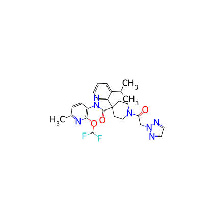 Cc1ccc(NC(=O)C2(c3ccccc3C(C)C)CCN(C(=O)Cn3nccn3)CC2)c(OC(F)F)n1